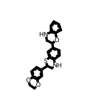 c1ccc2c(c1)NCC(c1ccc3c(c1)SC(c1ccc4c(c1)OCCO4)CN3)O2